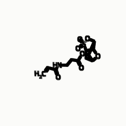 C=CC(=O)NCCC(=O)OC1C2CC3C(O2)C1OS3(=O)=O